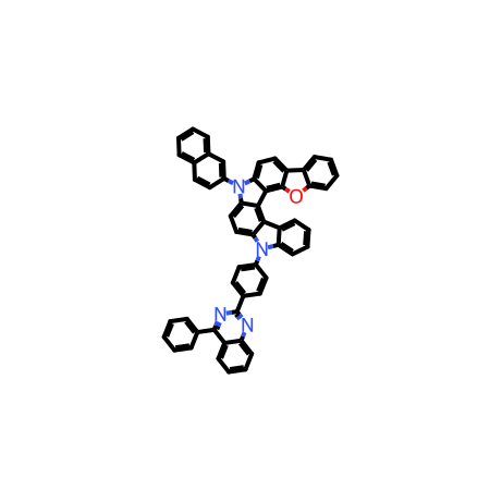 c1ccc(-c2nc(-c3ccc(-n4c5ccccc5c5c6c7c8oc9ccccc9c8ccc7n(-c7ccc8ccccc8c7)c6ccc54)cc3)nc3ccccc23)cc1